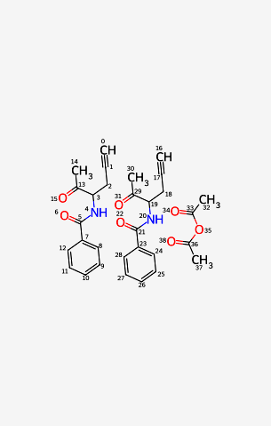 C#CCC(NC(=O)c1ccccc1)C(C)=O.C#CCC(NC(=O)c1ccccc1)C(C)=O.CC(=O)OC(C)=O